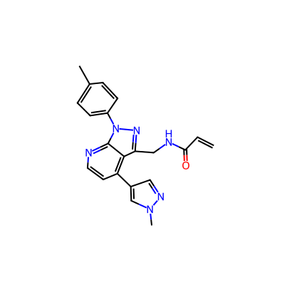 C=CC(=O)NCc1nn(-c2ccc(C)cc2)c2nccc(-c3cnn(C)c3)c12